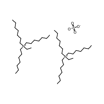 CCCCCCC[N+](CC)(CCCCCCC)CCCCCCC.CCCCCCC[N+](CC)(CCCCCCC)CCCCCCC.O=S(=O)([O-])[O-]